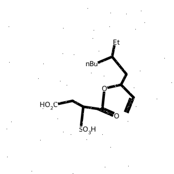 C=CC(CC(CC)CCCC)OC(=O)C(CC(=O)O)S(=O)(=O)O